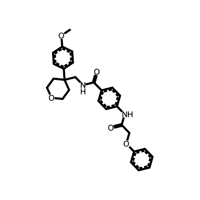 COc1ccc(C2(CNC(=O)c3ccc(NC(=O)COc4ccccc4)cc3)CCOCC2)cc1